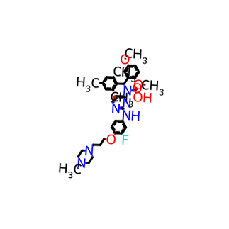 COc1ccc(OC)c(C(c2c(C)cc(C)cc2C)N(C(=O)O)c2ccnc(Nc3ccc(OCCCN4CCN(C)CC4)c(F)c3)n2)c1